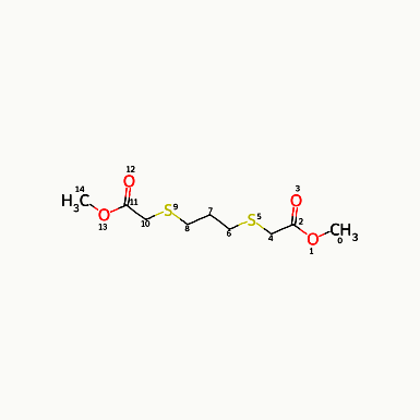 COC(=O)CSCCCSCC(=O)OC